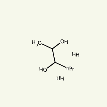 CCCC(O)C(C)O.[HH].[HH]